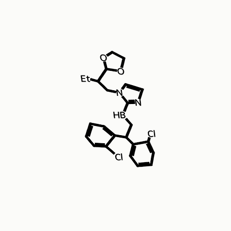 CCC(Cn1ccnc1BCC(c1ccccc1Cl)c1ccccc1Cl)C1OCCO1